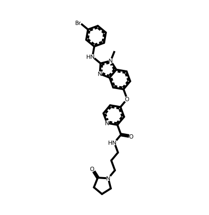 Cn1c(Nc2cccc(Br)c2)nc2cc(Oc3ccnc(C(=O)NCCCN4CCCC4=O)c3)ccc21